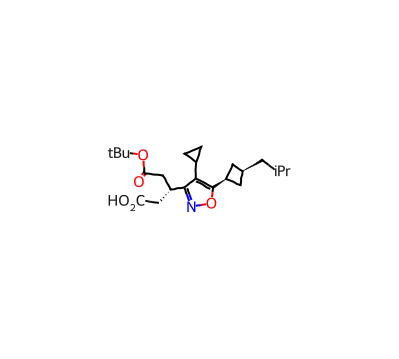 CC(C)C[C@H]1C[C@@H](c2onc([C@H](CC(=O)O)CC(=O)OC(C)(C)C)c2C2CC2)C1